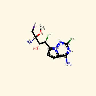 CO[C@](N)(CI)[C@@H](O)[C@@H](F)c1ccc2c(N)nc(F)nn12